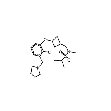 CC(C)S(=O)(=O)N(C)CC1CC(Oc2cccc(CN3CCCC3)c2Cl)C1